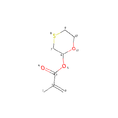 C=C(C)C(=O)OC1CSCCO1